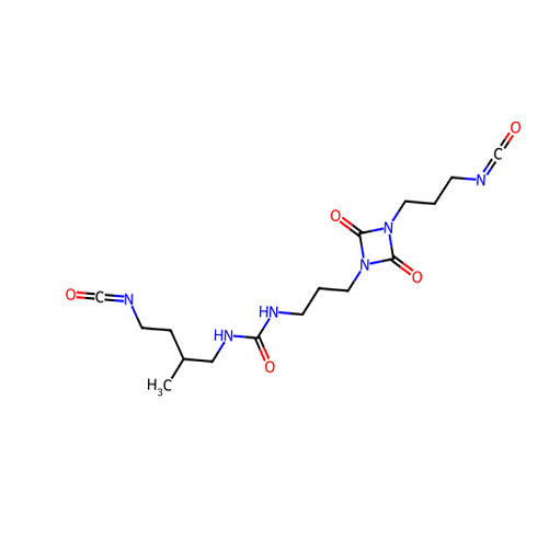 CC(CCN=C=O)CNC(=O)NCCCN1C(=O)N(CCCN=C=O)C1=O